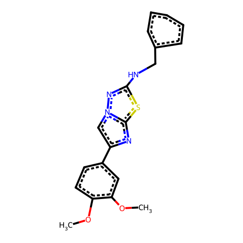 COc1ccc(-c2cn3nc(NCc4ccccc4)sc3n2)cc1OC